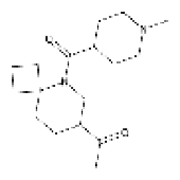 CC(=O)C1CCC2(CCC2)N(C(=O)C2CCN(C)CC2)C1